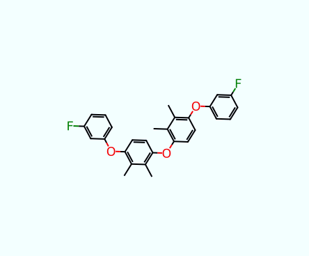 Cc1c(Oc2cccc(F)c2)ccc(Oc2ccc(Oc3cccc(F)c3)c(C)c2C)c1C